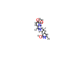 COc1cc(CC2(C)CCN(C(C)c3ccc4c(n3)OCCO4)C2)cc(C)n1